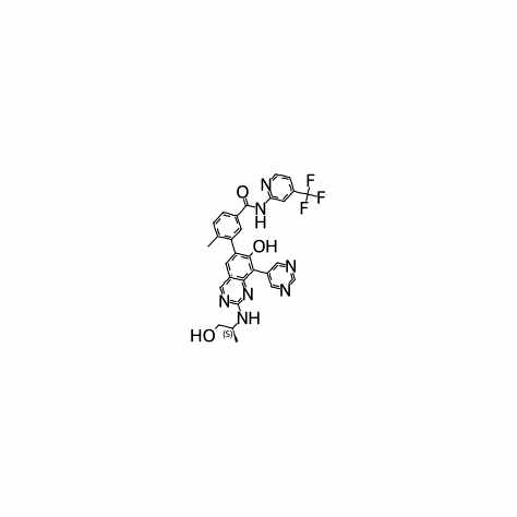 Cc1ccc(C(=O)Nc2cc(C(F)(F)F)ccn2)cc1-c1cc2cnc(N[C@@H](C)CO)nc2c(-c2cncnc2)c1O